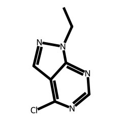 CCn1ncc2c(Cl)ncnc21